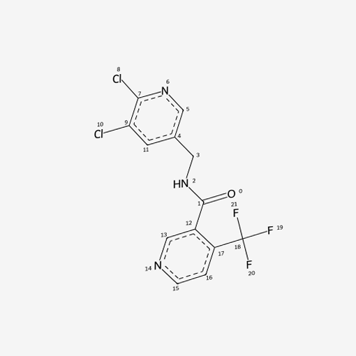 O=C(NCc1cnc(Cl)c(Cl)c1)c1cnccc1C(F)(F)F